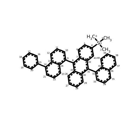 C[Si](C)(C)c1ccc2c(-c3cccc4c(-c5ccccc5)cccc34)c3ccccc3c(-c3cccc4ccccc34)c2c1